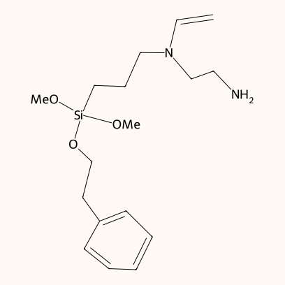 C=CN(CCN)CCC[Si](OC)(OC)OCCc1ccccc1